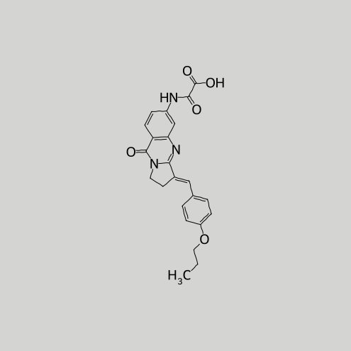 CCCOc1ccc(C=C2CCn3c2nc2cc(NC(=O)C(=O)O)ccc2c3=O)cc1